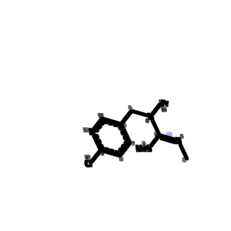 C/N=C(\SC)N(Cc1ccc(Cl)nc1)C(C)C